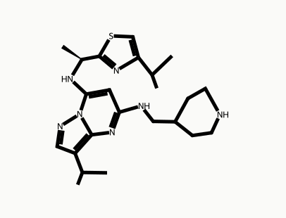 CC(C)c1csc([C@H](C)Nc2cc(NCC3CCNCC3)nc3c(C(C)C)cnn23)n1